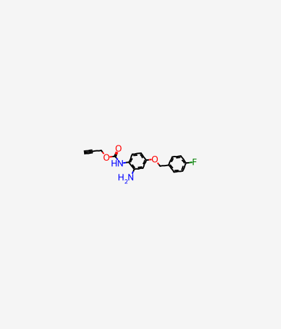 C#CCOC(=O)Nc1ccc(OCc2ccc(F)cc2)cc1N